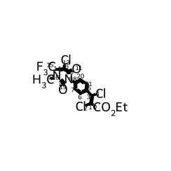 CCOC(=O)C(Cl)=C(Cl)c1ccc(-n2c(=O)c(Cl)c(C(F)(F)F)n(C)c2=O)cc1